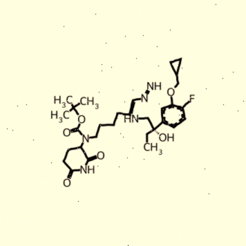 CC[C@@](O)(CN/C(=C\N=N)CCCCN(C(=O)OC(C)(C)C)C1CCC(=O)NC1=O)c1ccc(F)c(OCC2CC2)c1